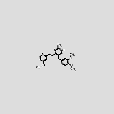 COc1ccnc(CCC2=C(Cc3ccc(OC)c(OC)c3)[CH]NC(C)=N2)c1